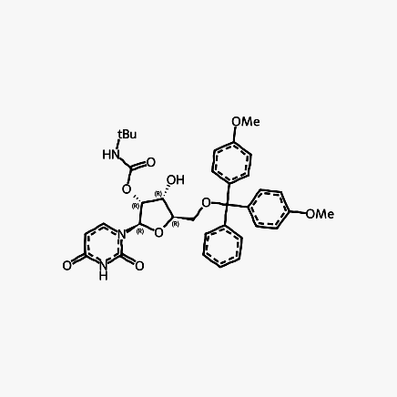 COc1ccc(C(OC[C@H]2O[C@@H](n3ccc(=O)[nH]c3=O)[C@H](OC(=O)NC(C)(C)C)[C@@H]2O)(c2ccccc2)c2ccc(OC)cc2)cc1